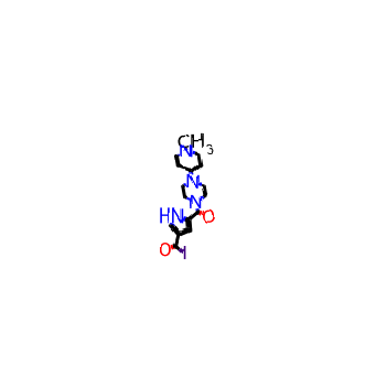 CN1CCC(N2CCN(C(=O)c3cc(C(=O)I)c[nH]3)CC2)CC1